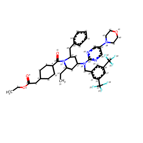 CCOC(=O)CC1CCC(C(=O)N2C(CC)CC(N(Cc3cc(C(F)(F)F)cc(C(F)(F)F)c3)c3ncc(N4CCOCC4)cn3)CC2Cc2ccccc2)CC1